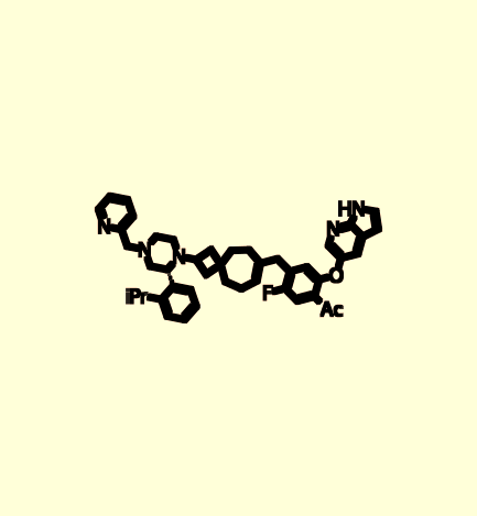 CC(=O)c1cc(F)c(CC2=CCCC3(CC2)CC(N2CCN(Cc4ccccn4)C[C@H]2c2ccccc2C(C)C)C3)cc1Oc1cnc2[nH]ccc2c1